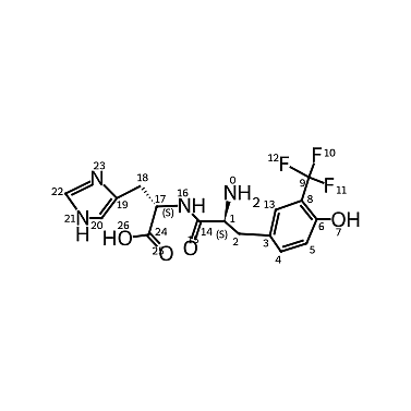 N[C@@H](Cc1ccc(O)c(C(F)(F)F)c1)C(=O)N[C@@H](Cc1c[nH]cn1)C(=O)O